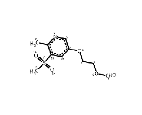 Cc1ncc(OCCOC=O)cc1S(C)(=O)=O